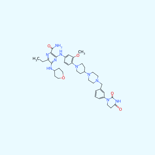 CCc1nc(C(N)=O)c(Nc2ccc(N3CCC(N4CCN(Cc5cccc(N6CCC(=O)NC6=O)c5)CC4)CC3)c(OC)c2)nc1NC1CCOCC1